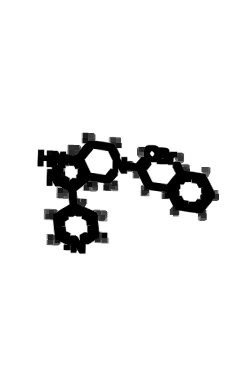 O=C(Cc1ccccc1Br)N1CCc2[nH]nc(-c3ccncc3)c2C1